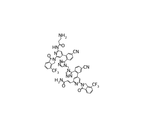 N#Cc1ccc(-c2nncn2Cn2cnnc2-c2ccc(C#N)cc2-c2cc(NC(=O)CCN)nc(N3Cc4c(cccc4C(F)(F)F)C3=O)c2)c(-c2cc(/C=C/C(N)=O)nc(N3Cc4c(cccc4C(F)(F)F)C3=O)c2)c1